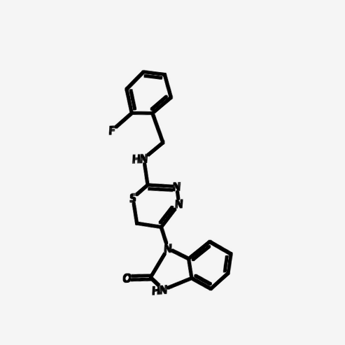 O=c1[nH]c2ccccc2n1C1=NN=C(NCc2ccccc2F)SC1